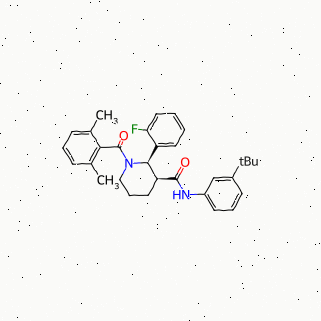 Cc1cccc(C)c1C(=O)N1CCC[C@H](C(=O)Nc2cccc(C(C)(C)C)c2)[C@@H]1c1ccccc1F